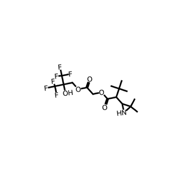 CC(C)(C)C(C(=O)OCC(=O)OCC(O)(C(F)(F)F)C(F)(F)F)C1NC1(C)C